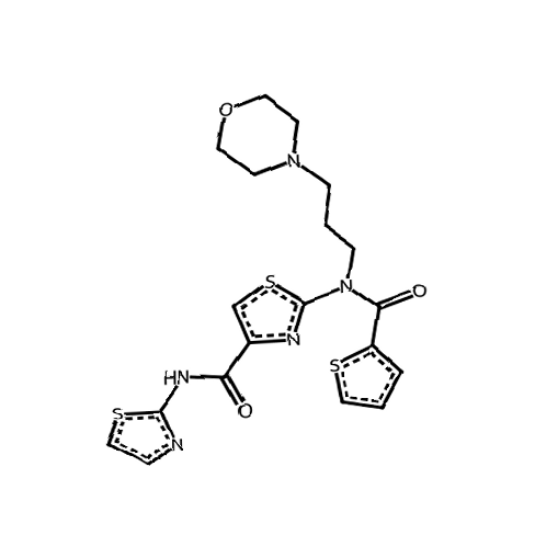 O=C(Nc1nccs1)c1csc(N(CCCN2CCOCC2)C(=O)c2cccs2)n1